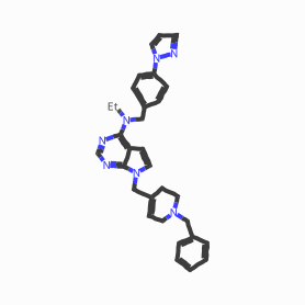 CCN(Cc1ccc(-n2cccn2)cc1)c1ncnc2c1ccn2CC1=CCN(Cc2ccccc2)CC1